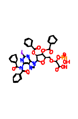 O=C(O[C@@H]1[C@H](OC(=O)c2ccccc2)[C@@H](COC(O[PH](=O)O)C(=O)O)O[C@H]1n1cnc2c(N(C(=O)c3ccccc3)C(=O)c3ccccc3)nc(I)nc21)c1ccccc1